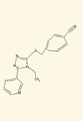 CCn1c(SCc2ccc(C#N)cc2)nnc1-c1cccnc1